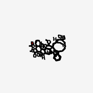 CC[C@]1(O)C[C@H]2CN(CCc3c([nH]c4ccccc34)[C@@](C(=O)OC)(c3cc4c(cc3OC)N[C@H]3[C@@](O)(C(=O)OC)[C@H](OC(C)=O)[C@]5(CC)C=CCN6CC[C@]43[C@@H]65)C2)C1